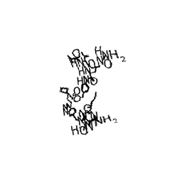 CCCCOc1nc(N)c2nc(O)n(Cc3ccc4c(c3)nnn4CCN(C(=O)OCc3ccc(NC(=O)[C@H](CCCNC(N)=O)NC(=O)C(NC(=O)C(C)C)C(C)C)cc3)C3CCC3)c2n1